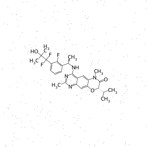 Cc1nc(N[C@H](C)c2cccc(C(F)(F)C(C)(C)O)c2F)c2cc3c(cc2n1)O[C@@H](C(C)C)C(=O)N3C